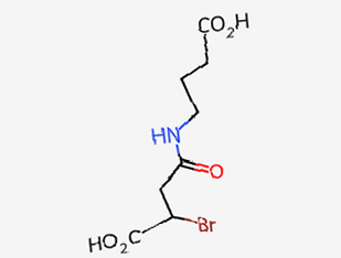 O=C(O)CCCNC(=O)CC(Br)C(=O)O